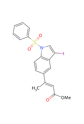 COC(=O)C=C(C)c1ccc2c(c1)c(I)cn2S(=O)(=O)c1ccccc1